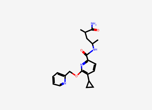 CC(CC(C)C(N)=O)NC(=O)c1ccc(C2CC2)c(OCc2ccccn2)n1